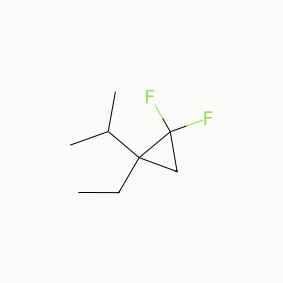 CCC1(C(C)C)CC1(F)F